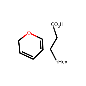 C1=CCOC=C1.CCCCCCCCC(=O)O